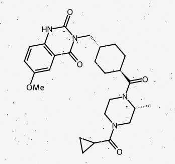 COc1ccc2[nH]c(=O)n(C[C@H]3CC[C@H](C(=O)N4CCN(C(=O)C5CC5)C[C@H]4C)CC3)c(=O)c2c1